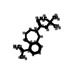 C=C(C)c1cccc2c1OCCN(C(=O)OC(C)(C)C)C2